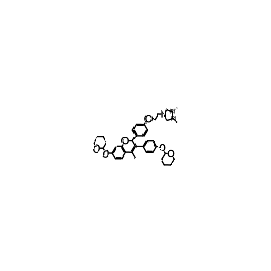 CC1=C(c2ccc(OC3CCCCO3)cc2)C(c2ccc(OCCN3C[C@H](C)[C@@H](C)C3)cc2)Oc2cc(OC3CCCCO3)ccc21